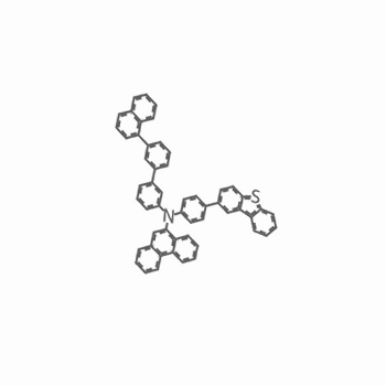 c1cc(-c2cccc(N(c3ccc(-c4ccc5sc6ccccc6c5c4)cc3)c3cc4ccccc4c4ccccc34)c2)cc(-c2cccc3ccccc23)c1